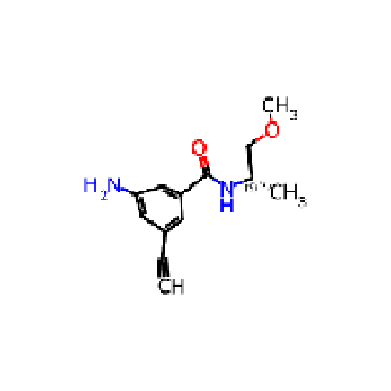 C#Cc1cc(N)cc(C(=O)N[C@@H](C)COC)c1